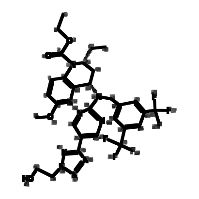 CCOC(=O)N1c2ccc(OC)nc2[C@@H](N(Cc2cc(C(F)(F)F)cc(C(F)(F)F)c2)c2ncc(-c3nnn(CCO)n3)cn2)C[C@H]1CC